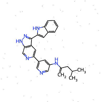 C=C(CC(C)C)Nc1cncc(-c2cc3c(-c4cc5ccccc5[nH]4)n[nH]c3cn2)c1